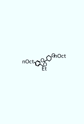 CCCCCCCCOC1CCC(C(=O)OC(CC)c2ccc(CCCCCCCC)cc2)CC1